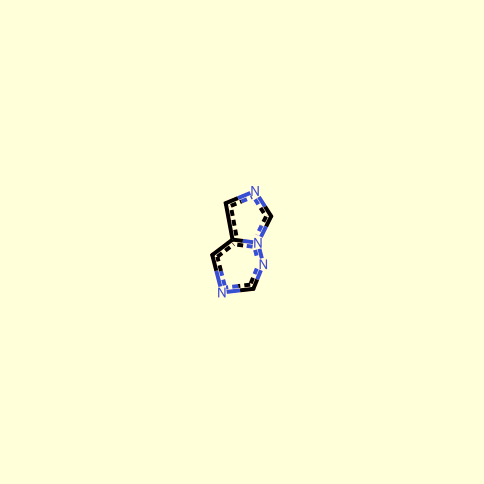 c1ncc2cncn2n1